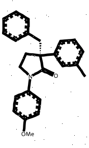 COc1ccc(N2CC[C@@](Cc3ccccc3)(c3cccc(C)c3)C2=O)cc1